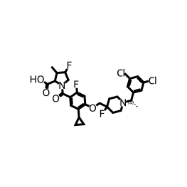 CC1C(F)CN(C(=O)c2cc(C3CC3)c(OCC3(F)CCN([C@@H](C)c4cc(Cl)cc(Cl)c4)CC3)cc2F)C1C(=O)O